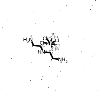 NCCNCCN.[Cl][Rh]([Cl])([Cl])([Cl])([Cl])[Cl]